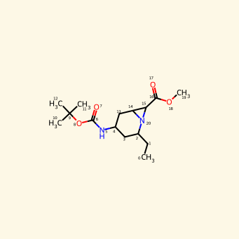 CCC1CC(NC(=O)OC(C)(C)C)CC2C(C(=O)OC)N12